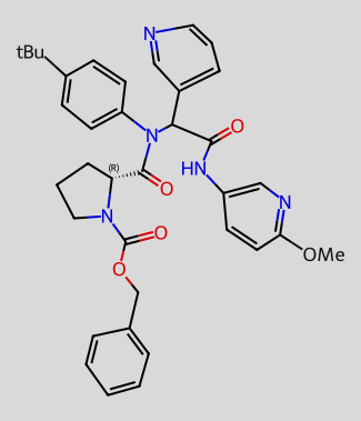 COc1ccc(NC(=O)C(c2cccnc2)N(C(=O)[C@H]2CCCN2C(=O)OCc2ccccc2)c2ccc(C(C)(C)C)cc2)cn1